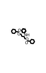 O=C(OCCC(COC(=O)C1CCCCC1)Nc1ccccc1)C1CCCCC1